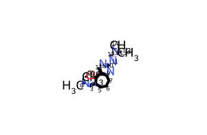 CN(C)/C=C1/CCCc2nc(/N=C/N(C)C)ncc2C1=O